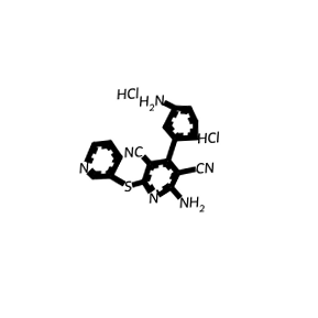 Cl.Cl.N#Cc1c(N)nc(Sc2cccnc2)c(C#N)c1-c1cccc(N)c1